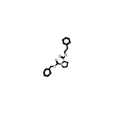 O=C(OCCc1ccccc1)[C@@H]1CCCN1C(=O)OCc1ccccc1